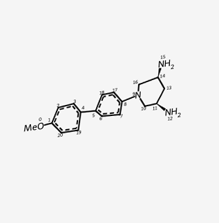 COc1ccc(-c2ccc(N3C[C@H](N)C[C@H](N)C3)cc2)cc1